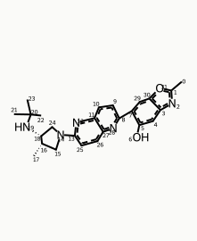 Cc1nc2cc(O)c(-c3ccc4nc(N5C[C@H](C)[C@H](NC(C)(C)C)C5)ccc4n3)cc2o1